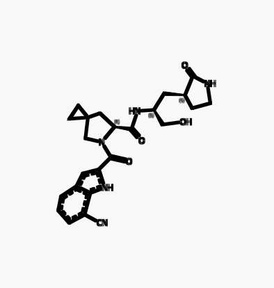 N#Cc1cccc2cc(C(=O)N3CC4(CC4)C[C@H]3C(=O)N[C@H](CO)C[C@@H]3CCNC3=O)[nH]c12